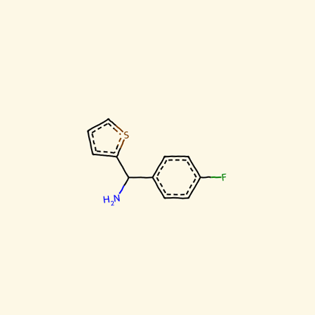 NC(c1ccc(F)cc1)c1cccs1